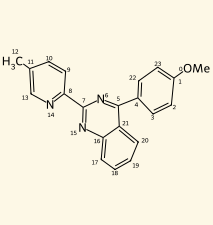 COc1ccc(-c2nc(-c3ccc(C)cn3)nc3ccccc23)cc1